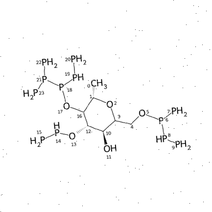 C[C@@H]1OC(COP(P)PP)[C@@H](O)[C@H](OPP)C1OP(PP)P(P)P